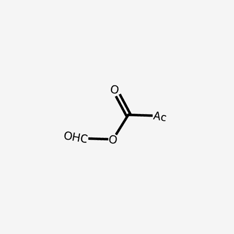 CC(=O)C(=O)OC=O